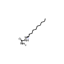 CCCCCCCCC/C=N/NC(N)=O